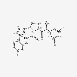 O=C(NCc1cc(Cl)ccc1-n1cnnn1)[C@@H]1CCON1C(=O)C(O)c1cc(F)cc(F)c1